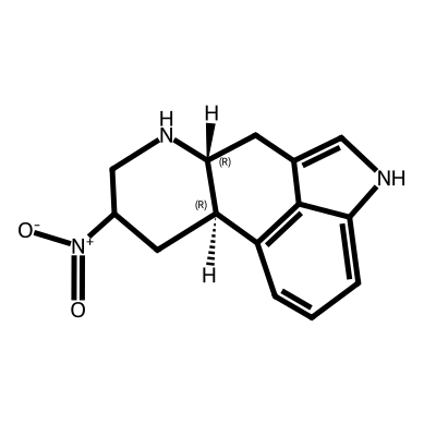 O=[N+]([O-])C1CN[C@@H]2Cc3c[nH]c4cccc(c34)[C@H]2C1